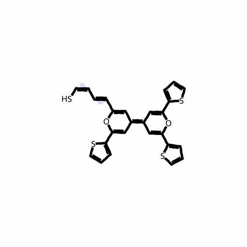 S/C=C\C=C\C1=CC(=C2C=C(c3cccs3)OC(c3cccs3)=C2)C=C(c2cccs2)O1